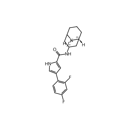 CN1C2CCC[C@@H]1CC(NC(=O)c1cc(-c3ccc(F)cc3F)c[nH]1)C2